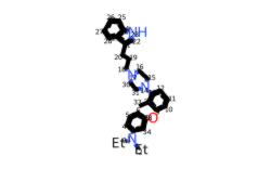 CCN(CC)c1cccc(Oc2cccc(N3CCN(CCCc4c[nH]c5ccccc45)CC3)c2C)c1